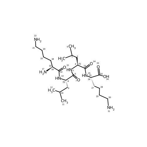 CC(C)C[C@H](NC(=O)[C@H](CC(C)C)NC(=O)[C@@H](N)CCCCN)C(=O)N[C@@H](CCCCN)C(=O)O